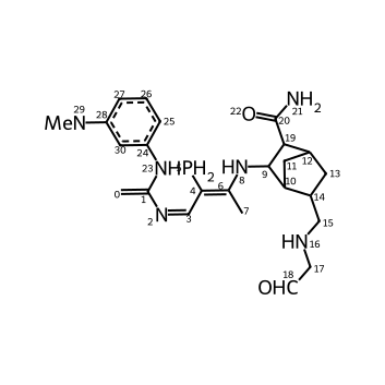 C=C(/N=C\C(P)=C(/C)NC1C2CC(CC2CNCC=O)C1C(N)=O)Nc1cccc(NC)c1